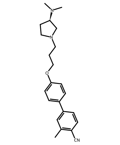 Cc1cc(-c2ccc(OCCCN3CC[C@@H](N(C)C)C3)cc2)ccc1C#N